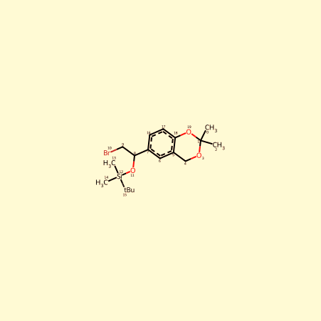 CC1(C)OCc2cc(C(CBr)O[Si](C)(C)C(C)(C)C)ccc2O1